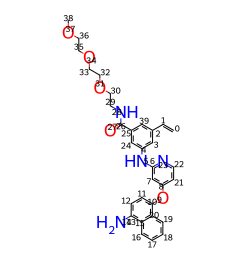 C=Cc1cc(Nc2cc(Oc3ccc(N)c4ccccc34)ccn2)cc(C(=O)NCCOCCOCCOC)c1